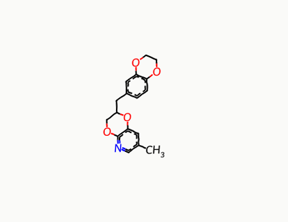 Cc1cnc2c(c1)OC(Cc1ccc3c(c1)OCCO3)CO2